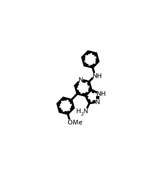 COc1cccc(-c2cnc(Nc3ccccc3)c3[nH]nc(N)c23)c1